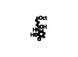 CCCCCCCCCCCC(O)NC1=CCCC(=O)C1O